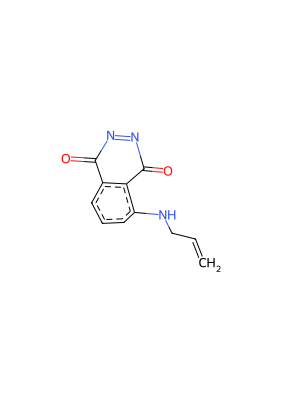 C=CCNc1cccc2c1C(=O)N=NC2=O